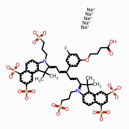 CC1(C)C(/C=C/C(=C/C=C2/N(CCCS(=O)(=O)[O-])c3ccc4c(S(=O)(=O)[O-])cc(S(=O)(=O)[O-])cc4c3C2(C)C)c2cc(F)cc(OCCCC(=O)O)c2)=[N+](CCCS(=O)(=O)[O-])c2ccc3c(S(=O)(=O)[O-])cc(S(=O)(=O)[O-])cc3c21.[Na+].[Na+].[Na+].[Na+].[Na+]